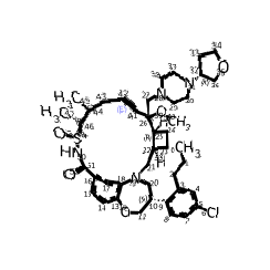 CCCc1cc(Cl)ccc1[C@@H]1COc2ccc3cc2N(C1)C[C@@H]1CC[C@H]1[C@@](CN1CCN([C@@H]2CCOC2)CC1)(OC)/C=C/C[C@H](C)[C@@H](C)[S+]([O-])NC3=O